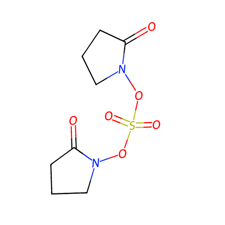 O=C1CCCN1OS(=O)(=O)ON1CCCC1=O